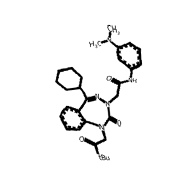 CN(C)c1cccc(NC(=O)CN2N=C(C3CCCCC3)c3ccccc3N(CC(=O)C(C)(C)C)C2=O)c1